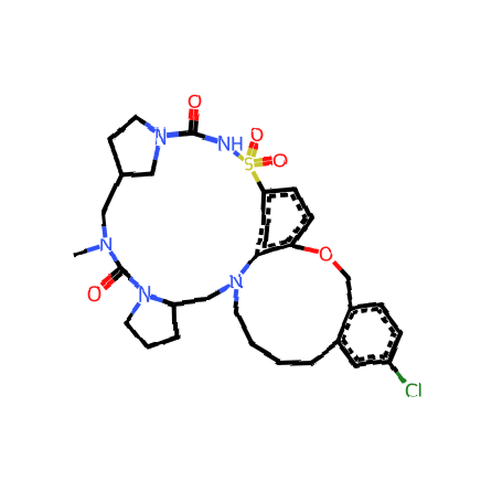 CN1CC2CCN(C2)C(=O)NS(=O)(=O)c2ccc3c(c2)N(CCCCc2cc(Cl)ccc2CO3)CC2CCCN2C1=O